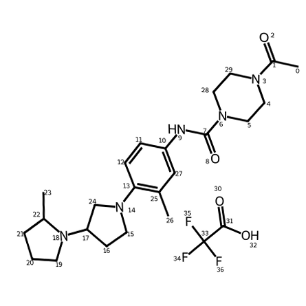 CC(=O)N1CCN(C(=O)Nc2ccc(N3CCC(N4CCCC4C)C3)c(C)c2)CC1.O=C(O)C(F)(F)F